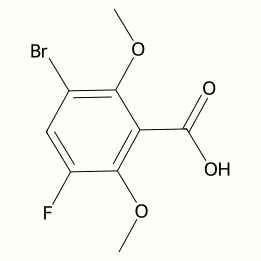 COc1c(F)cc(Br)c(OC)c1C(=O)O